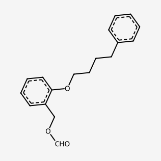 O=COCc1ccccc1OCCCCc1ccccc1